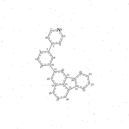 c1cc(-c2ccncc2)cc(-c2cc3c4c(cccc4c2)-c2ccccc2-3)c1